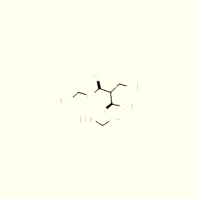 CCOC(=O)C(CC)C(C)=O.CCP